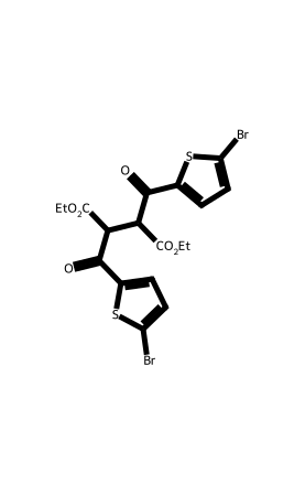 CCOC(=O)C(C(=O)c1ccc(Br)s1)C(C(=O)OCC)C(=O)c1ccc(Br)s1